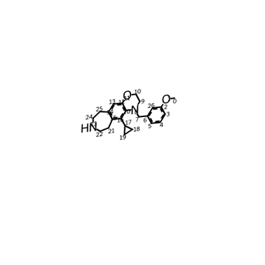 COc1cccc(CN2CCOc3cc4c(c(C5CC5)c32)CCNCC4)c1